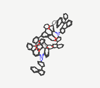 CC1C=C(N(c2ccc(-c3cccc4ccccc34)cc2)c2ccc3c(c2)C(c2ccccc2)(c2ccccc2)c2ccccc2-3)C(c2cccc3cc(-c4cccc(C5(C)c6ccccc6-c6ccc(N(c7ccc(-c8cccc9ccccc89)cc7)c7ccccc7-c7cccc8cccc(C9CCCCC9)c78)cc65)c4)cc(C4CCCCC4)c23)=CC1